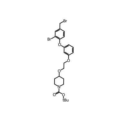 CC(C)(C)OC(=O)N1CCC(OCCOc2cccc(Oc3ccc(CBr)cc3Br)c2)CC1